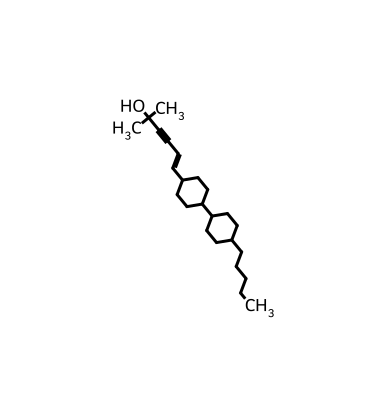 CCCCCC1CCC(C2CCC(/C=C/C#CC(C)(C)O)CC2)CC1